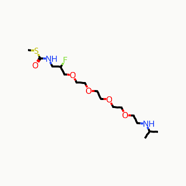 CSC(=O)NCC(F)COCCOCCOCCOCCNC(C)C